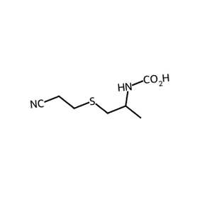 CC(CSCCC#N)NC(=O)O